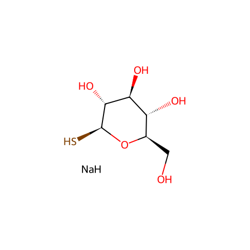 OC[C@H]1O[C@@H](S)[C@H](O)[C@@H](O)[C@@H]1O.[NaH]